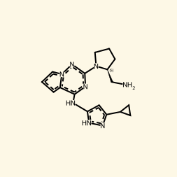 NC[C@@H]1CCCN1c1nc(Nc2cc(C3CC3)n[nH]2)c2cccn2n1